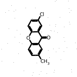 Cc1ccc2oc3ccc(Cl)cc3c(=O)c2c1